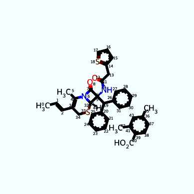 CC=CC1=C(C)N2C(=O)[C@](NC(=O)Cc3cccs3)(C(c3ccccc3)c3ccccc3)[C@@H]2SC1.Cc1ccc(C(=O)O)c(C)c1